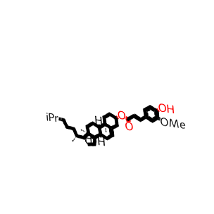 COc1cc(C=CC(=O)OC2CC[C@@]3(C)C(=CC[C@H]4[C@@H]5CC[C@H]([C@H](C)CCCC(C)C)[C@@]5(C)CC[C@@H]43)C2)ccc1O